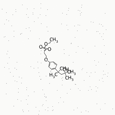 CCOS(=O)(=O)CCOc1ccc(C(C)(C)CC(C)(C)C)cc1